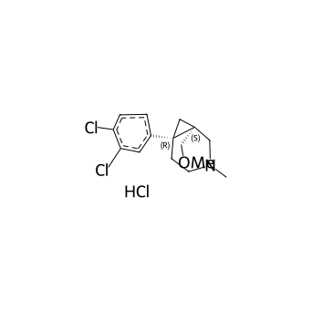 COC[C@]12CN(C)CC[C@@]1(c1ccc(Cl)c(Cl)c1)C2.Cl